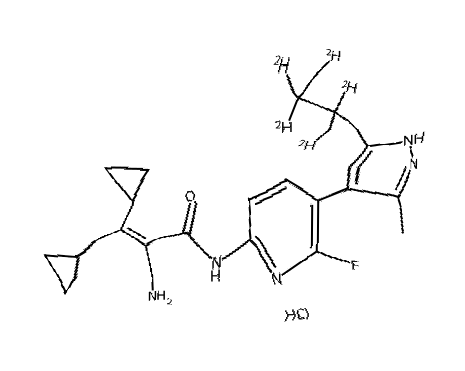 Cl.[2H]C([2H])([2H])C([2H])([2H])c1[nH]nc(C)c1-c1ccc(NC(=O)C(N)=C(C2CC2)C2CC2)nc1F